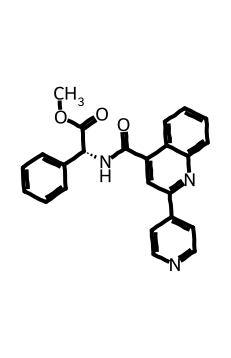 COC(=O)[C@H](NC(=O)c1cc(-c2ccncc2)nc2ccccc12)c1ccccc1